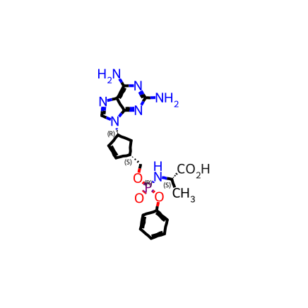 C[C@H](N[P@@](=O)(OC[C@@H]1C=C[C@H](n2cnc3c(N)nc(N)nc32)C1)Oc1ccccc1)C(=O)O